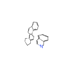 c1ccc2c(c1)ccc1c3c(ccc12)CCCC3.c1ccc2cnccc2c1